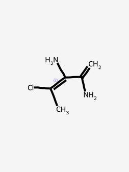 C=C(N)/C(N)=C(\C)Cl